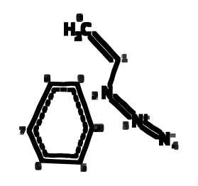 C=CN=[N+]=[N-].c1ccccc1